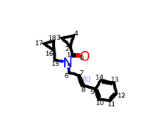 O=C(C1CC1)N(C/C=C/c1ccccc1)CC1CC1